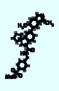 CNS(=O)(=O)c1ccc(CNC(=O)N2CC3(CCCC3)c3cc(-c4cc5c(cnn5C)cc4C)ccc32)cc1